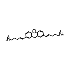 CN(C)CCC/C=C/c1ccc2c(c1)Cc1cc(/C=C/CCCN(C)C)ccc1O2